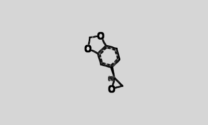 c1cc2c(cc1[C@H]1CO1)OCO2